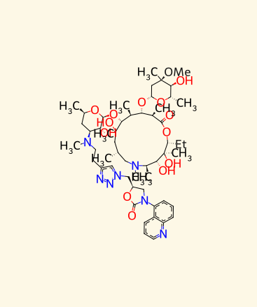 CC[C@H]1OC(=O)[C@H](C)[C@@H](O[C@@H]2C[C@@](C)(OC)[C@@H](O)[C@H](C)O2)[C@H](C)[C@@H](O[C@@H]2O[C@H](C)C[C@H](N(C)CCc3cn(C[C@H]4CN(c5cccc6ncccc56)C(=O)O4)nn3)[C@H]2O)[C@](C)(O)C[C@@H](C)CN(C)[C@H](C)[C@@H](O)[C@]1(C)O